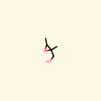 CC1OC1(C)CO